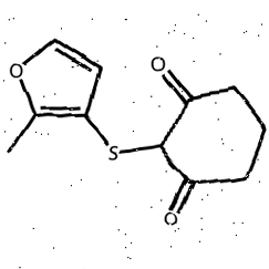 Cc1occc1SC1C(=O)CCCC1=O